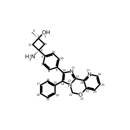 C[C@]1(O)C[C@@](N)(c2ccc(-c3nc4n(c3-c3ccccc3)COc3cccnc3-4)cc2)C1